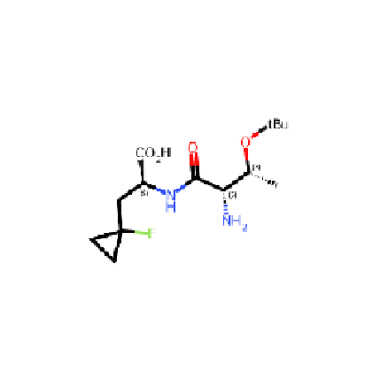 C[C@@H](OC(C)(C)C)[C@H](N)C(=O)N[C@@H](CC1(F)CC1)C(=O)O